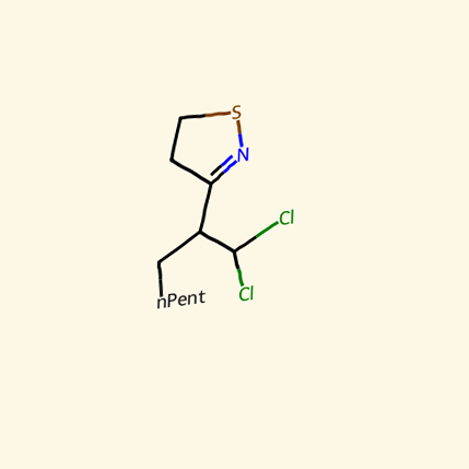 CCCCCCC(C1=NSCC1)C(Cl)Cl